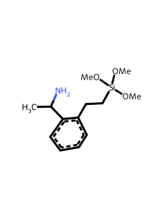 CO[Si](CCc1ccccc1C(C)N)(OC)OC